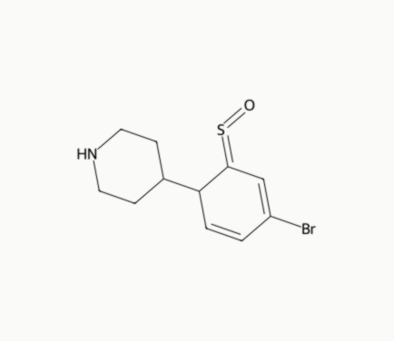 O=S=C1C=C(Br)C=CC1C1CCNCC1